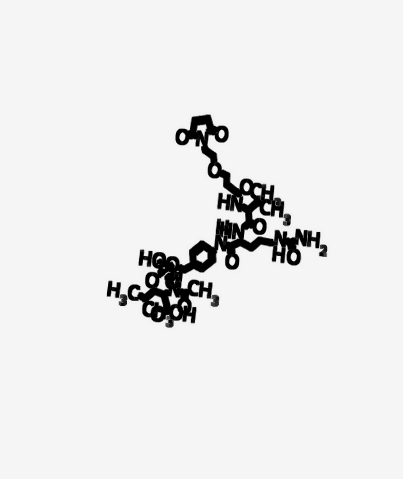 CC(=O)NC(C(=O)O)C(OP(=O)(O)OCc1ccc(NC(=O)C(CCCNC(N)=O)NC(=O)C(NC(=O)CCOCCN2C(=O)C=CC2=O)C(C)C)cc1)C(C)C